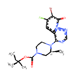 C[C@H]1CN(C(=O)OC(C)(C)C)CCN1c1ncnn2c(=O)c(Br)c(F)cc12